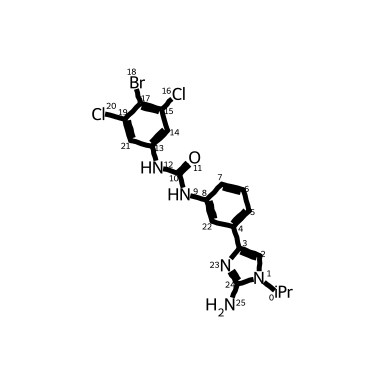 CC(C)n1cc(-c2cccc(NC(=O)Nc3cc(Cl)c(Br)c(Cl)c3)c2)nc1N